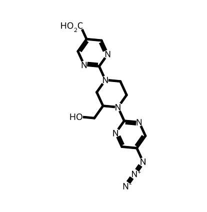 [N-]=[N+]=Nc1cnc(N2CCN(c3ncc(C(=O)O)cn3)CC2CO)nc1